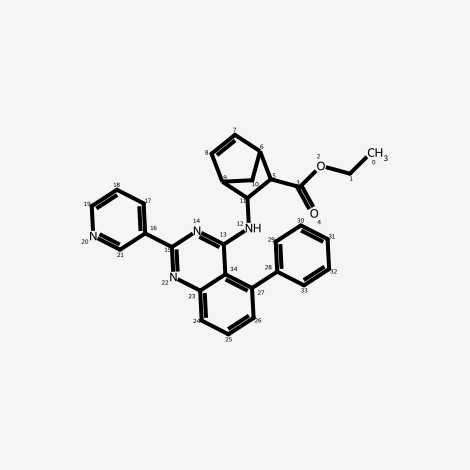 CCOC(=O)C1C2C=CC(C2)C1Nc1nc(-c2cccnc2)nc2cccc(-c3ccccc3)c12